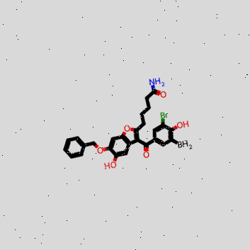 Bc1cc(C(=O)c2c(CCCCC(N)=O)oc3cc(OCc4ccccc4)c(O)cc23)cc(Br)c1O